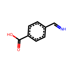 N=Cc1ccc(C(=O)O)cc1